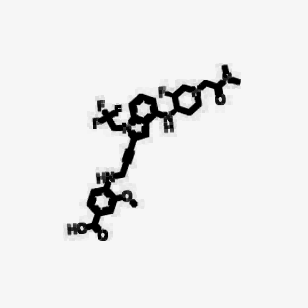 COc1cc(C(=O)O)ccc1NCC#Cc1cc2c(N[C@@H]3CCN(CC(=O)N(C)C)C[C@@H]3F)cccc2n1CC(F)(F)F